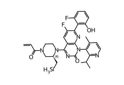 C=CC(=O)N1CCN(c2nc(=O)n(-c3c(C)ccnc3C(C)C)c3nc(-c4c(O)cccc4F)c(F)cc23)[C@@H](C[SiH3])C1